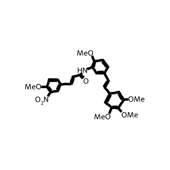 COc1ccc(/C=C/c2cc(OC)c(OC)c(OC)c2)cc1NC(=O)/C=C/c1ccc(OC)c([N+](=O)[O-])c1